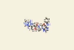 COc1cnc(-n2cnc(C)n2)c2[nH]cc(C(=O)C(=O)N3CCN(c4nccnc4C(=O)NC4CCCCC4)CC3)c12